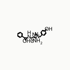 NC=O.Oc1ccc(Cn2cc(CNC3CC3c3ccccc3)nn2)cc1